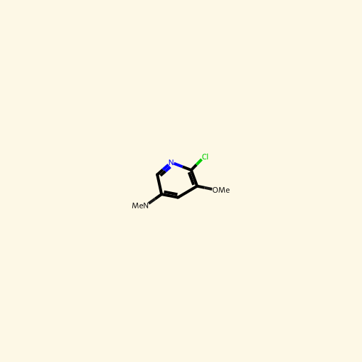 CNc1cnc(Cl)c(OC)c1